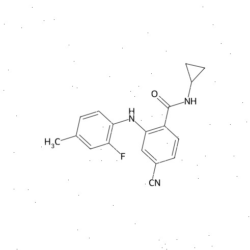 Cc1ccc(Nc2cc(C#N)ccc2C(=O)NC2CC2)c(F)c1